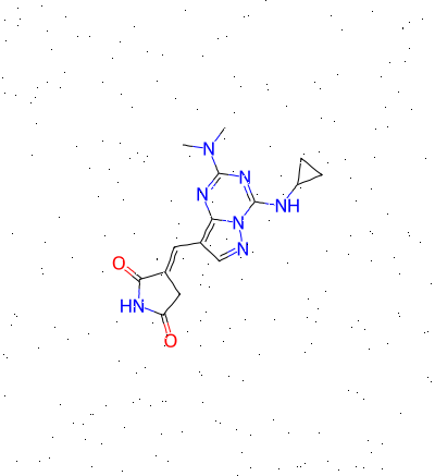 CN(C)c1nc(NC2CC2)n2ncc(/C=C3\CC(=O)NC3=O)c2n1